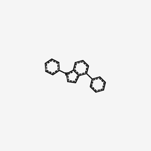 c1ccc(-c2cccc3c2ccn3-c2ccccc2)cc1